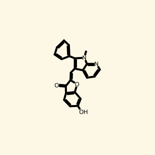 Cn1c(-c2ccccc2)c(/C=C2\Oc3cc(O)ccc3C2=O)c2cccnc21